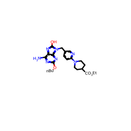 CCCCOc1nc(N)c2nc(O)n(Cc3ccc(N4CCC(C(=O)OCC)CC4)nc3)c2n1